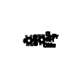 COc1cc(S(=O)(=O)c2ccncc2)ccc1NC(=O)C(C)C